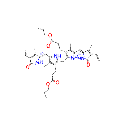 C=CC1=C(C)/C(=C/c2[nH]c(Cc3[nH]c(/C=C4\NC(=O)C(C=C)=C4C)c(C)c3CCC(=O)OCCC)c(CCC(=O)OCCC)c2C)NC1=O